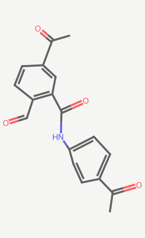 CC(=O)c1ccc(NC(=O)c2cc(C(C)=O)ccc2C=O)cc1